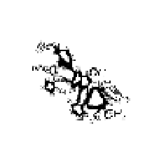 COc1ccc(-c2cc3c(O)cc4c(c3cc2OC2CCCC2)-c2ccccc2C42CC(C)(C)CC(C)(C)C2)c(OC)c1